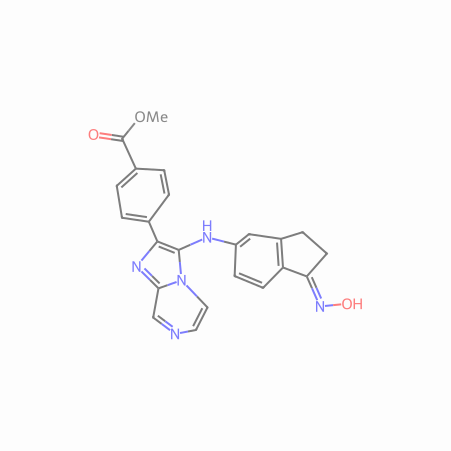 COC(=O)c1ccc(-c2nc3cnccn3c2Nc2ccc3c(c2)CC/C3=N\O)cc1